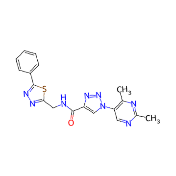 Cc1ncc(-n2cc(C(=O)NCc3nnc(-c4ccccc4)s3)nn2)c(C)n1